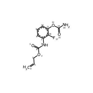 C=CCOC(=O)Nc1cccc(OC(N)=O)c1F